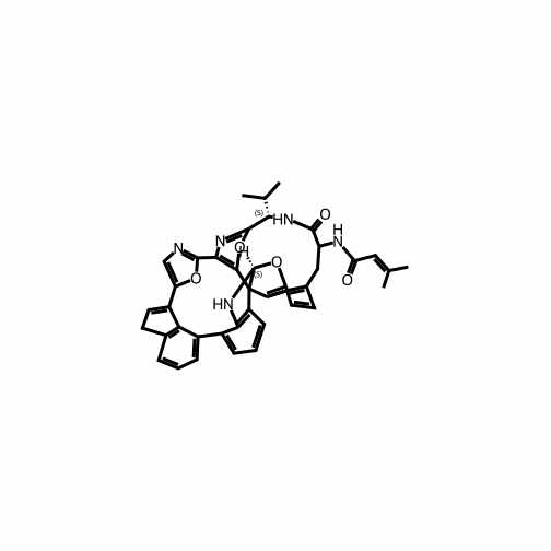 CC(C)=CC(=O)NC1Cc2ccc3c(c2)C24c5cccc(c5N[C@H]2O3)-c2cccc3c2C(=CC3)c2cnc(o2)-c2nc(oc24)[C@H](C(C)C)NC1=O